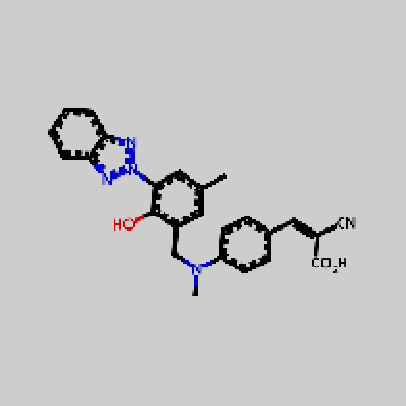 Cc1cc(CN(C)c2ccc(C=C(C#N)C(=O)O)cc2)c(O)c(-n2nc3ccccc3n2)c1